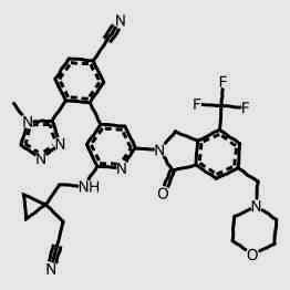 Cn1cnnc1-c1ccc(C#N)cc1-c1cc(NCC2(CC#N)CC2)nc(N2Cc3c(cc(CN4CCOCC4)cc3C(F)(F)F)C2=O)c1